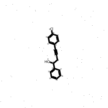 OC(CC#Cc1ccc(Cl)cc1)c1ccccc1